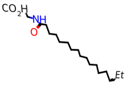 CC/C=C\CCCCCCCCCCCCCC(=O)NCC(=O)O